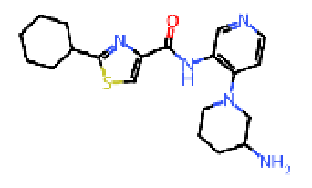 NC1CCCN(c2ccncc2NC(=O)c2csc(C3CCCCC3)n2)C1